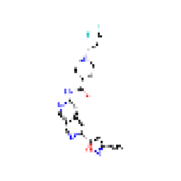 Cc1cc(-c2cc3cc(NC(=O)C4CCN(CCC(F)(F)F)CC4)ncc3cn2)on1